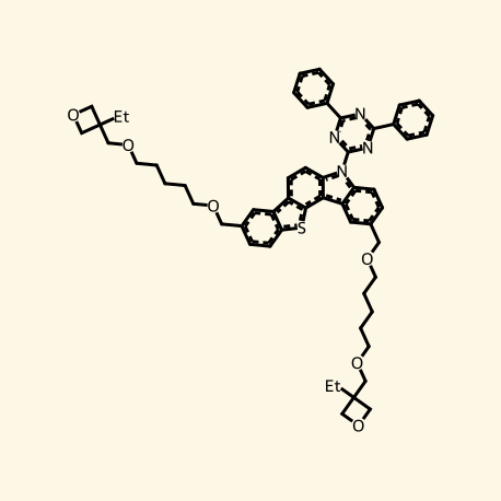 CCC1(COCCCCCOCc2ccc3sc4c(ccc5c4c4cc(COCCCCCOCC6(CC)COC6)ccc4n5-c4nc(-c5ccccc5)nc(-c5ccccc5)n4)c3c2)COC1